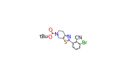 CC(C)(C)OC(=O)N1CCc2nc(-c3cccc(Br)c3C#N)sc2C1